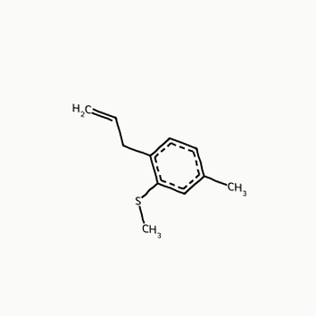 C=CCc1ccc(C)cc1SC